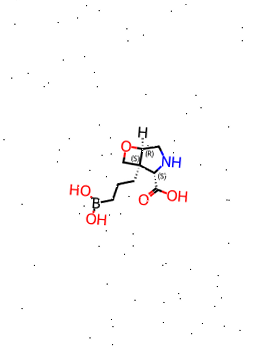 O=C(O)[C@H]1NC[C@@H]2OC[C@@]21CCCB(O)O